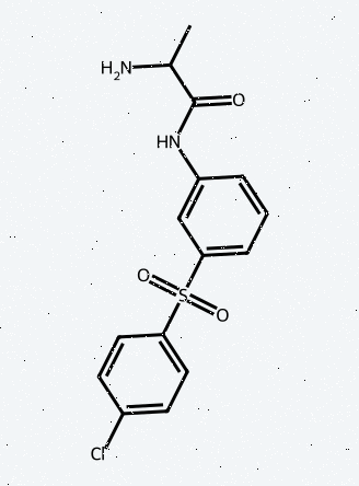 CC(N)C(=O)Nc1cccc(S(=O)(=O)c2ccc(Cl)cc2)c1